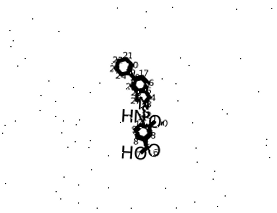 COc1cc(C(=O)O)ccc1NSN1Cc2ccc(C3=CCCCC3)cc2C1